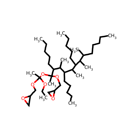 CCCCCC([SiH3])C(C)C(CCCCC)C(C)C(CCCCC)C(C)C(CCCCC)C(C)(OCC1CO1)OC(C)(OCC)OCC1CO1